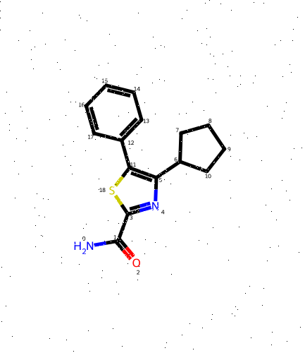 NC(=O)c1nc(C2CCCC2)c(-c2ccccc2)s1